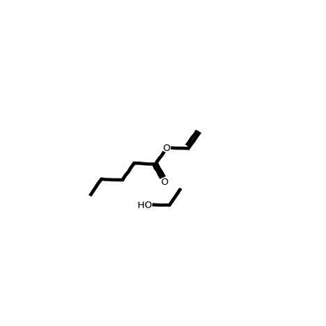 C=COC(=O)CCCC.CCO